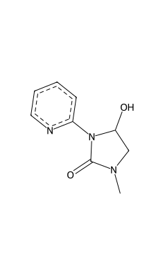 CN1CC(O)N(c2ccccn2)C1=O